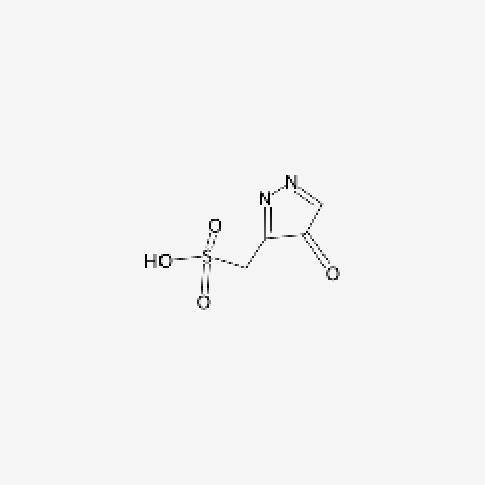 O=C1C=NN=C1CS(=O)(=O)O